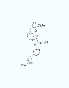 COc1cc2c(cc1O)CCN1C[C@@H](c3cc(C(C)(C)O[SiH2]C(C)(C)C)ccn3)C(=NO)C[C@H]21